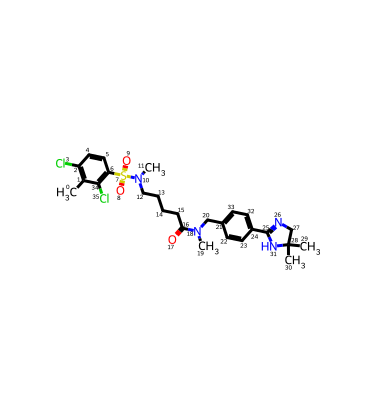 Cc1c(Cl)ccc(S(=O)(=O)N(C)CCCCC(=O)N(C)Cc2ccc(C3=NCC(C)(C)N3)cc2)c1Cl